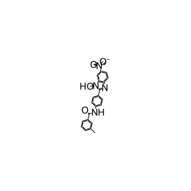 Cc1cccc(C(=O)Nc2ccc(-c3nc4ccc([N+](=O)[O-])cc4n3O)cc2)c1